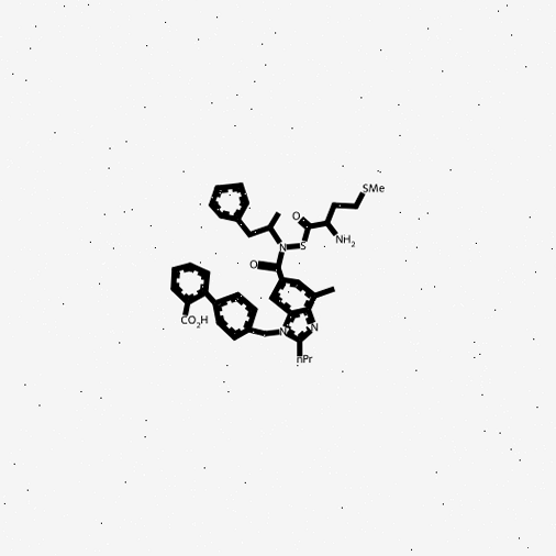 CCCc1nc2c(C)cc(C(=O)N(SC(=O)C(N)CCSC)C(C)Cc3ccccc3)cc2n1Cc1ccc(-c2ccccc2C(=O)O)cc1